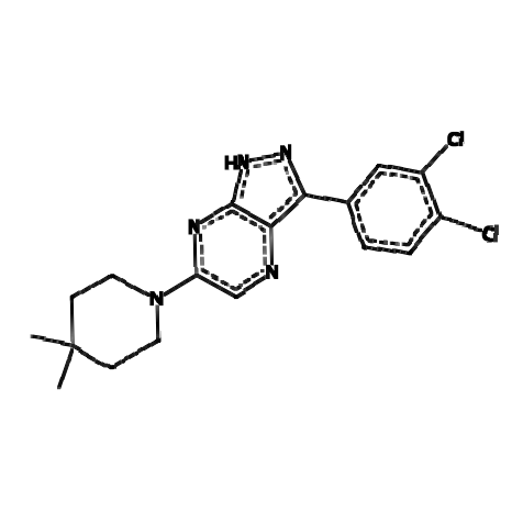 CC1(C)CCN(c2cnc3c(-c4ccc(Cl)c(Cl)c4)n[nH]c3n2)CC1